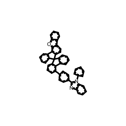 c1ccc(-n2c(-c3ccc(-c4cccc5c4-c4ccccc4C54c5ccccc5-c5c4ccc4c5oc5ccccc54)cc3)nc3ccccc32)cc1